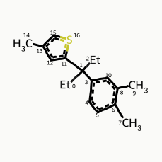 CCC(CC)(c1ccc(C)c(C)c1)c1cc(C)cs1